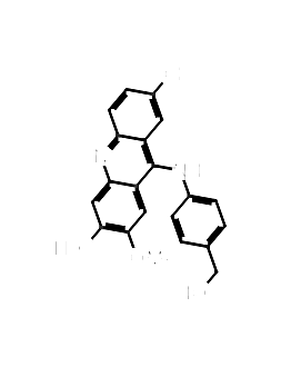 COc1cc2c(Nc3ccc(CO)cc3)c3cc(C)ccc3nc2cc1C